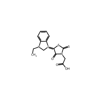 CCN1CS(=C2SC(=S)N(CC(=O)O)C2=O)c2ccccc21